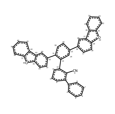 N#Cc1c(-c2ccccc2)cccc1-c1cc(-c2ccc3oc4ccccc4c3c2)ccc1-c1ccc2oc3ccccc3c2c1